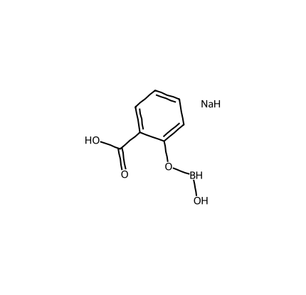 O=C(O)c1ccccc1OBO.[NaH]